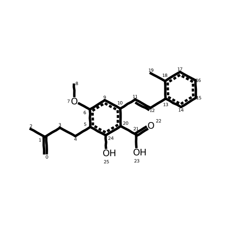 C=C(C)CCc1c(OC)cc(C=Cc2ccccc2C)c(C(=O)O)c1O